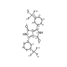 O=C1NC(c2cccc(C(F)(F)F)c2)=C2C(=O)NC(c3cccc(C(F)(F)F)c3)=C12